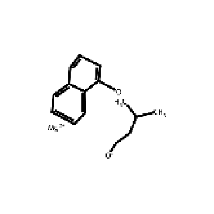 CC(C)CC[O-].[Mg+2].[O-]c1cccc2ccccc12